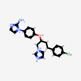 Nc1nccn1-c1ccc(OC(CCc2ccc(Cl)cc2)Cn2ccnc2)cc1